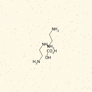 NCCN.NCCN.O=C(O)O